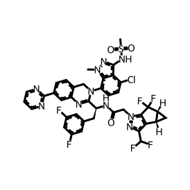 Cn1nc(NS(C)(=O)=O)c2c(Cl)ccc(N3Cc4ccc(-c5ncccn5)cc4N=C3[C@H](Cc3cc(F)cc(F)c3)NC(=O)Cn3nc(C(F)F)c4c3C(F)(F)[C@@H]3C[C@H]43)c21